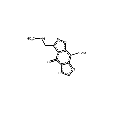 CCCCCn1c2nc[nH]c2c(=O)n2c(CNC(=O)O)nnc12